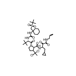 C=CCNC(=O)C(=O)C(CC1CC1)NC(=O)C1C(C(C)(Cl)Cl)CCN1C(=O)[C@@H](NC(=O)NC1(CS(=O)(=O)C(C)(C)C)CCCCC1)C(C)(C)C